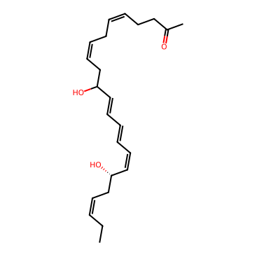 CC/C=C\C[C@H](O)\C=C/C=C/C=C/C(O)C/C=C\C/C=C\CCC(C)=O